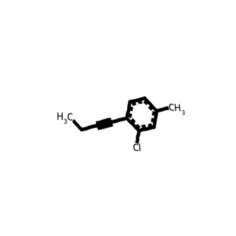 CCC#Cc1ccc(C)cc1Cl